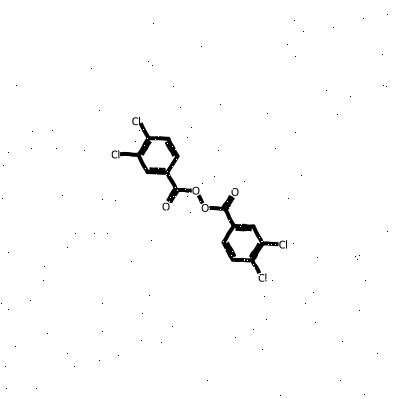 O=C(OOC(=O)c1ccc(Cl)c(Cl)c1)c1ccc(Cl)c(Cl)c1